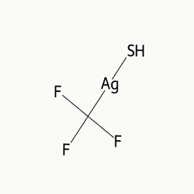 F[C](F)(F)[Ag][SH]